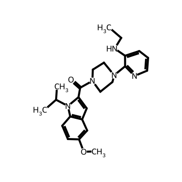 CCNc1cccnc1N1CCN(C(=O)c2cc3cc(OC)ccc3n2C(C)C)CC1